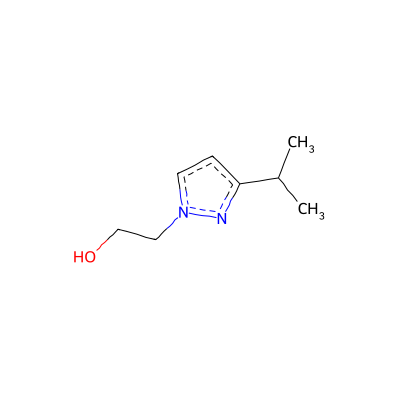 CC(C)c1ccn(CCO)n1